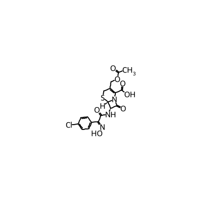 CC(=O)OCC1=C(C(=O)O)N2C(=O)[C@@H](NC(=O)C(=NO)c3ccc(Cl)cc3)[C@@H]2SC1